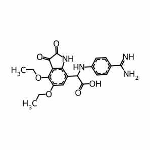 CCOc1cc(C(Nc2ccc(C(=N)N)cc2)C(=O)O)c2c(c1OCC)C(=O)C(=O)N2